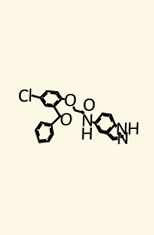 O=C(COc1ccc(Cl)cc1C(=O)c1ccccc1)Nc1ccc2[nH]ncc2c1